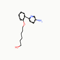 Nc1ccc(-c2ccccc2OCCCCCCO)nc1